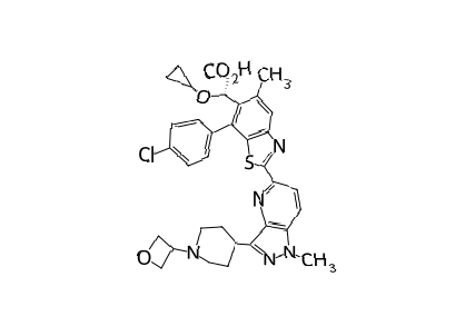 Cc1cc2nc(-c3ccc4c(n3)c(C3CCN(C5COC5)CC3)nn4C)sc2c(-c2ccc(Cl)cc2)c1[C@H](OC1CC1)C(=O)O